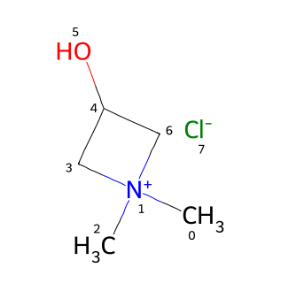 C[N+]1(C)CC(O)C1.[Cl-]